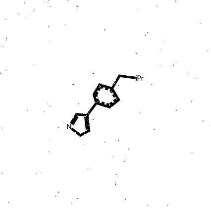 CC(C)Cc1ccc(C2=CCN=C2)cc1